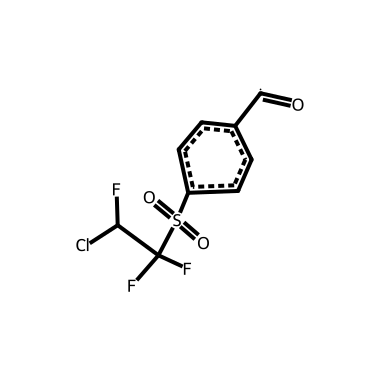 O=[C]c1ccc(S(=O)(=O)C(F)(F)C(F)Cl)cc1